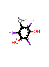 O=Cc1c(I)c(O)c(I)c(O)c1I